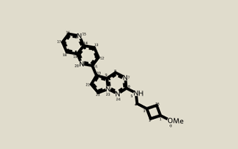 COC1CC(CNc2ncc3c(-c4ccc5ncccc5n4)ccn3n2)C1